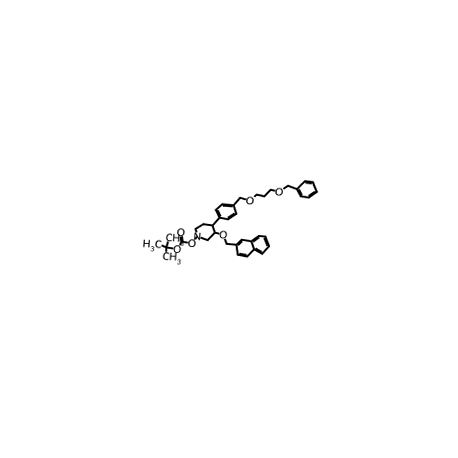 CC(C)(C)OC(=O)ON1CCC(c2ccc(COCCCOCc3ccccc3)cc2)C(OCc2ccc3ccccc3c2)C1